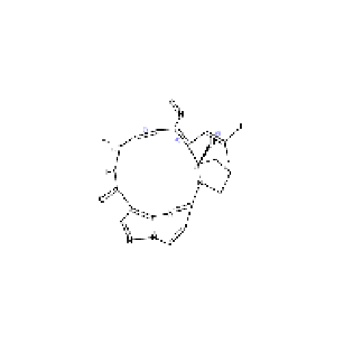 C=NC1=C(\C=C(/C)F)[C@@H]2CCCN2c2ccn3ncc(c3n2)C(=O)N[C@H](C)/C=C\1